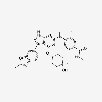 CNC(=O)c1ccc(Nc2nc(O[C@H]3CC[C@@](C)(O)CC3)c3c(-c4ccc5nc(C)oc5c4)c[nH]c3n2)c(C)c1